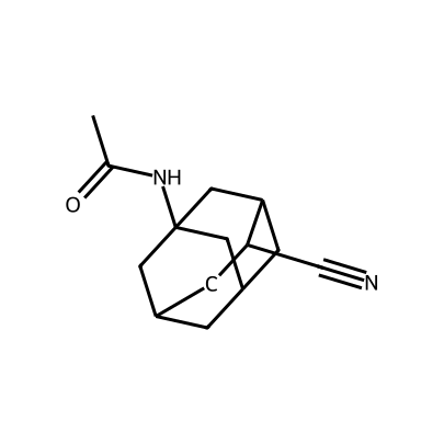 CC(=O)NC12CC3CC(CC(C1)C(C#N)C3)C2